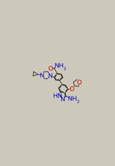 NC(=O)c1ccc(-c2cc(O[C@H]3CCOC3)c3c(N)n[nH]c3c2)cc1N1CCN(C2CC2)CC1